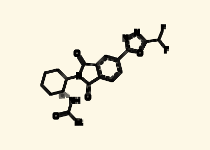 CCC(=O)N[C@@H]1CCCCC1N1C(=O)c2ccc(-c3nnc(C(F)F)o3)cc2C1=O